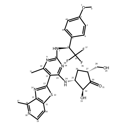 COc1ccc([C@H](Nc2nc(C)c(-c3nc4c(C)nccc4s3)c(N[C@@H]3C[C@H](CO)C(=O)[C@H]3O)n2)C(F)(F)F)cc1